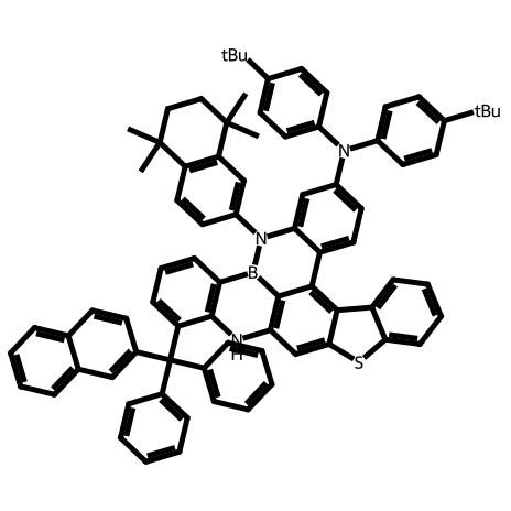 CC(C)(C)c1ccc(N(c2ccc(C(C)(C)C)cc2)c2ccc3c(c2)N(c2ccc4c(c2)C(C)(C)CCC4(C)C)B2c4cccc(C(c5ccccc5)(c5ccccc5)c5ccc6ccccc6c5)c4Nc4cc5sc6ccccc6c5c-3c42)cc1